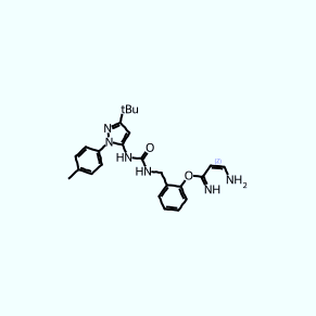 Cc1ccc(-n2nc(C(C)(C)C)cc2NC(=O)NCc2ccccc2OC(=N)/C=C\N)cc1